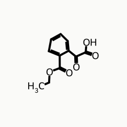 CCOC(=O)c1ccccc1C(=O)C(=O)O